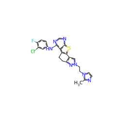 Cc1nccn1CCn1cc2c(n1)CCc1c-2sc2ncnc(Nc3ccc(F)c(Cl)c3)c12